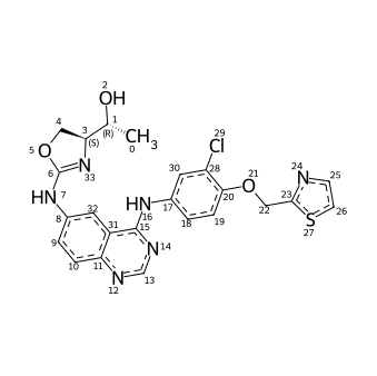 C[C@@H](O)[C@@H]1COC(Nc2ccc3ncnc(Nc4ccc(OCc5nccs5)c(Cl)c4)c3c2)=N1